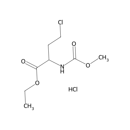 CCOC(=O)C(CCCl)NC(=O)OC.Cl